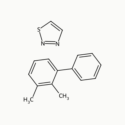 Cc1cccc(-c2ccccc2)c1C.c1csnn1